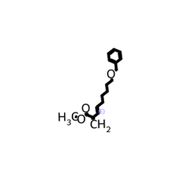 C=C(/C=C/CCCCCOCc1ccccc1)C(=O)OC